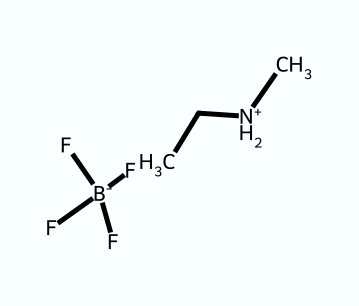 CC[NH2+]C.F[B-](F)(F)F